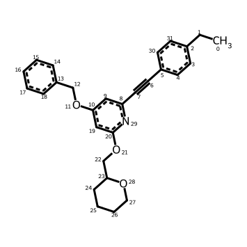 CCc1ccc(C#Cc2cc(OCc3ccccc3)cc(OCC3CCCCO3)n2)cc1